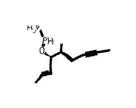 CC#CCC(C)[C@@H](/C=C/C)OPP